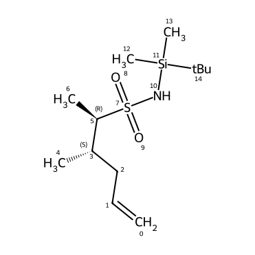 C=CC[C@H](C)[C@@H](C)S(=O)(=O)N[Si](C)(C)C(C)(C)C